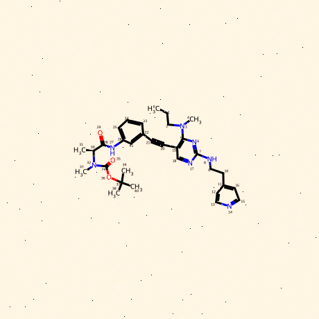 CCCN(C)c1nc(NCCc2ccncc2)ncc1C#Cc1cccc(NC(=O)[C@H](C)N(C)C(=O)OC(C)(C)C)c1